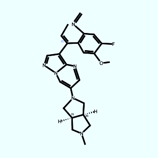 C=Nc1cc(F)c(OC)cc1/C(=C\C)c1cnn2cc(N3C[C@H]4CN(C)C[C@H]4C3)cnc12